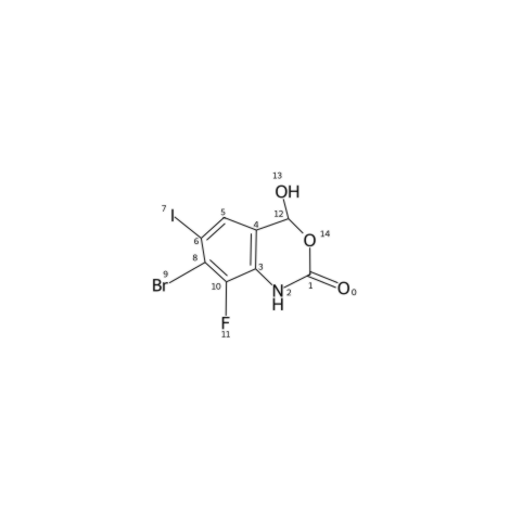 O=C1Nc2c(cc(I)c(Br)c2F)C(O)O1